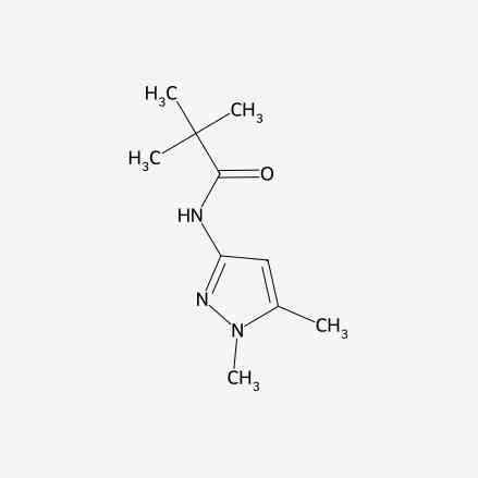 Cc1cc(NC(=O)C(C)(C)C)nn1C